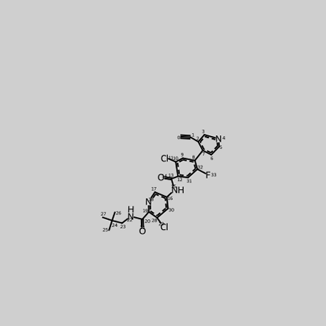 C#Cc1cnccc1-c1cc(Cl)c(C(=O)Nc2cnc(C(=O)NCC(C)(C)C)c(Cl)c2)cc1F